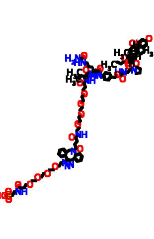 CCCC1O[C@@H]2C[C@H]3[C@@H]4CCC5=CC(=O)C=C[C@]5(C)[C@H]4[C@@H](O)C[C@]3(C)[C@]2(C(=O)COC2CCCN2C(=O)CNC(=O)OCc2ccc(NC(=O)[C@H](CCCNC(N)=O)NC(=O)[C@@H](NC(=O)CCOCCOCCOCCOCCNC(=O)CCC(=O)N3Cc4ccccc4-c4c(nnn4CCOCCOCCOCCOCCC(=O)NCCS(=O)(=O)O)-c4ccccc43)C(C)C)cc2)O1